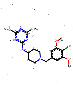 CCOc1cc(CN2CCC(Nc3nc(NC)nc(OC)n3)CC2)cc(OCC)c1F